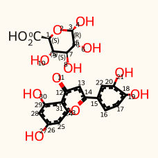 O=C(O)[C@H]1O[C@@H](O)[C@H](O)[C@@H](O)[C@@H]1O.O=c1cc(-c2ccc(O)c(O)c2)oc2cc(O)cc(O)c12